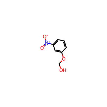 O=[N+]([O-])c1cccc(OCO)c1